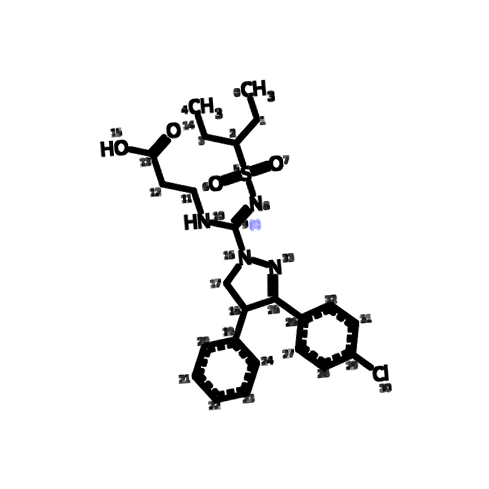 CCC(CC)S(=O)(=O)/N=C(\NCCC(=O)O)N1CC(c2ccccc2)C(c2ccc(Cl)cc2)=N1